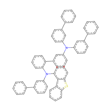 c1ccc(-c2cccc(N(c3cccc(-c4ccccc4)c3)c3cccc(-c4ccccc4N(c4cccc(-c5ccccc5)c4)c4cccc5sc6ccccc6c45)c3)c2)cc1